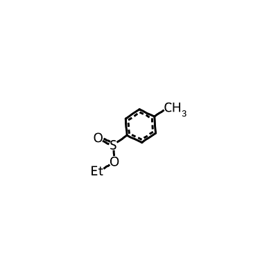 CCOS(=O)c1ccc(C)cc1